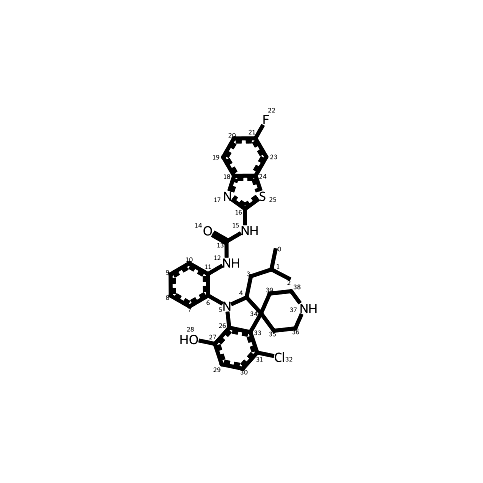 CC(C)CC1N(c2ccccc2NC(=O)Nc2nc3ccc(F)cc3s2)c2c(O)ccc(Cl)c2C12CCNCC2